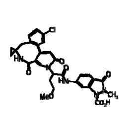 COCCC(C(=O)Nc1ccc2c(=O)n(C)n(C(=O)O)c2c1)n1cc2c(cc1=O)-c1cc(Cl)ccc1CC1(CC1)NC2=O